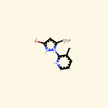 Cc1cccnc1-n1nc(Br)cc1C(=O)O